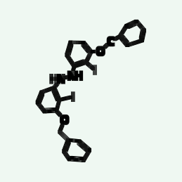 Ic1c(NNc2cccc(OCc3ccccc3)c2I)cccc1OCc1ccccc1